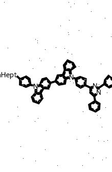 CCCCCCCc1ccc(-n2c3ccccc3c3cc(-c4ccc5c(c4)c4ccccc4n5-c4ccc(-c5cc(-c6ccccc6)nc(-c6ccccc6)n5)cc4)ccc32)cc1